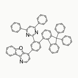 c1ccc(-c2cc(-c3ccccc3)nc(-c3cc(-c4ccnc5c4oc4ccccc45)ccc3-c3cccc4c3-c3ccccc3C4(c3ccccc3)c3ccccc3)n2)cc1